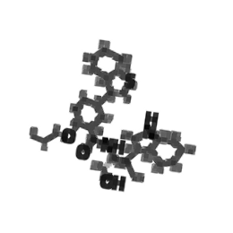 CCCOc1ccc(-c2csc3ccccc23)cc1C(=O)N[C@@H](CO)C(C)c1c[nH]c2ccccc12